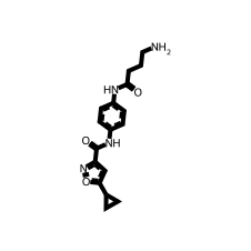 NCCCC(=O)Nc1ccc(NC(=O)c2cc(C3CC3)on2)cc1